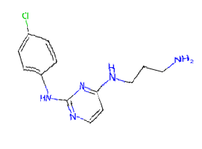 NCCCNc1ccnc(Nc2ccc(Cl)cc2)n1